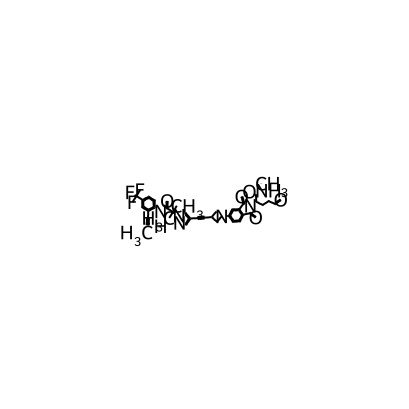 CC#Cc1cc(C(F)(F)F)ccc1NC(=O)C(C)(C)n1cc(C#CC2CN(c3ccc4c(c3)C(=O)N(C(CCC=O)C(=O)NC)C4=O)C2)cn1